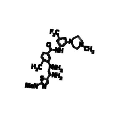 CNc1ncc(/C(N)=C/N(N)c2cc(C(=O)Nc3cc(N4CCCN(C)CC4)cc(C(F)(F)F)c3)ccc2C)s1